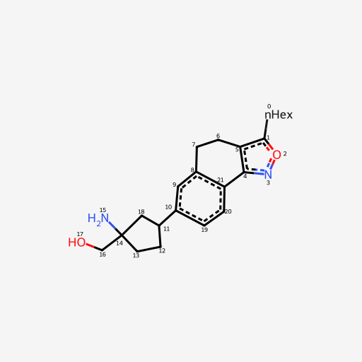 CCCCCCc1onc2c1CCc1cc(C3CCC(N)(CO)C3)ccc1-2